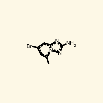 Cc1cc(Br)cc2nc(N)nn12